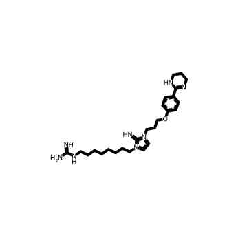 N=C(N)NCCCCCCCCn1ccn(CCCOc2ccc(C3=NCCCN3)cc2)c1=N